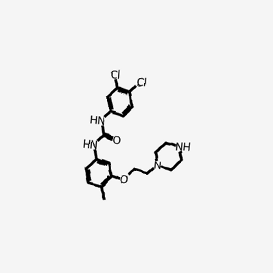 Cc1ccc(NC(=O)Nc2ccc(Cl)c(Cl)c2)cc1OCCN1CCNCC1